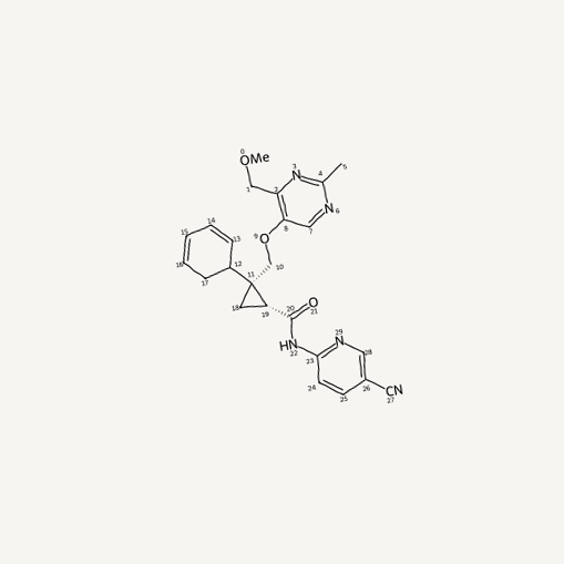 COCc1nc(C)ncc1OC[C@@]1(C2C=CC=CC2)C[C@H]1C(=O)Nc1ccc(C#N)cn1